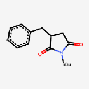 CCCCN1C(=O)CC(Cc2[c]c[c]cc2)C1=O